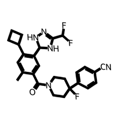 Cc1cc(C2CCC2)c(C2NN=C(C(F)F)N2)cc1C(=O)N1CCC(F)(c2ccc(C#N)cc2)CC1